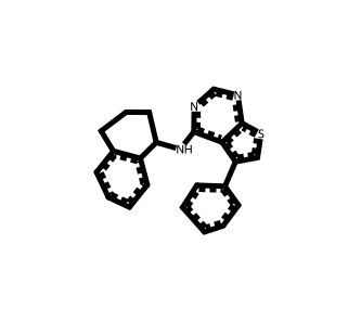 c1ccc(-c2csc3ncnc(NC4CCCc5ccccc54)c23)cc1